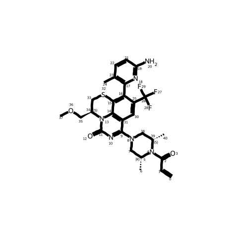 C=CC(=O)N1[C@H](C)CN(c2nc(=O)n3c4c(c(-c5nc(N)ccc5C)c(C(F)(F)F)cc24)SC[C@@H]3COC)C[C@@H]1C